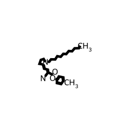 CCCCCCCCCCCCN1CCCC1=CC=C(C#N)C(=O)Oc1ccc(C)cc1